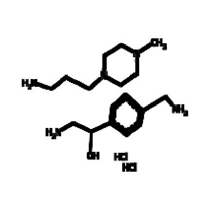 CN1CCN(CCCN)CC1.Cl.Cl.NCc1ccc(C(O)CN)cc1